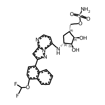 NS(=O)(=O)OC[C@H]1C[C@@H](Nc2ccnc3cc(-c4ccc(OC(F)F)c5ccccc45)nn23)[C@H](O)[C@@H]1O